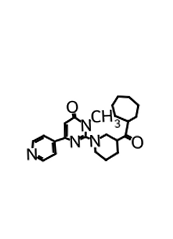 Cn1c(N2CCCC(C(=O)C3CCCCCC3)C2)nc(-c2ccncc2)cc1=O